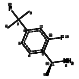 C[C@H](N)c1ccc(C(C)(C)F)cc1F